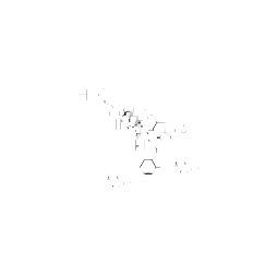 C=CCOC(=O)N[C@@H]1C(=O)N2C(C(=O)NCc3ccc(OC)cc3OC)=C(COC(C)=O)CS[C@H]12